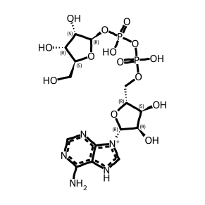 Nc1ncnc2c1[nH]c[n+]2[C@@H]1O[C@H](COP(=O)(O)OP(=O)(O)O[C@H]2O[C@@H](CO)[C@H](O)[C@@H]2O)[C@@H](O)[C@H]1O